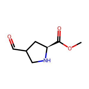 COC(=O)[C@@H]1CC(C=O)CN1